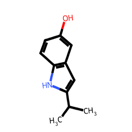 CC(C)c1cc2cc(O)ccc2[nH]1